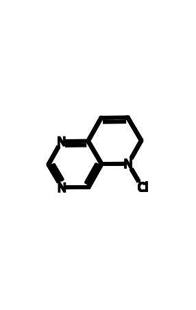 ClN1CC=Cc2ncncc21